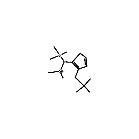 C[SiH](C)N(C1=C(CC(C)(C)C)C=CC1)[Si](C)(C)C